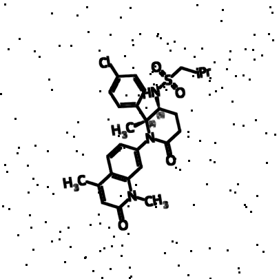 Cc1cc(=O)n(C)c2cc(N3C(=O)CC[C@H](NS(=O)(=O)CC(C)C)[C@@]3(C)c3ccc(Cl)cc3)ccc12